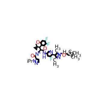 Cc1nn(COCC[Si](C)(C)C)c(C)c1-c1ncc(NC(=O)C(C#[N+]C(=O)c2ccnn2C(C)C)C2c3cc(F)c(F)cc3OCC23CC3)cc1F